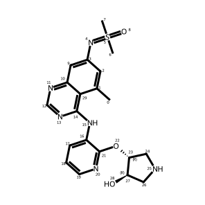 Cc1cc(N=S(C)(C)=O)cc2ncnc(Nc3cccnc3O[C@@H]3CNC[C@H]3O)c12